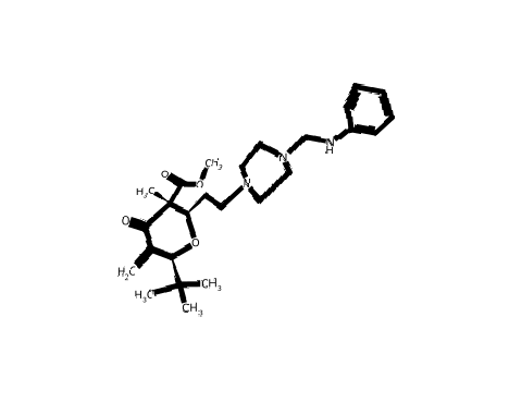 C=C1C(=O)[C@](C)(C(=O)OC)[C@@H](CCN2CCN(CNc3ccccc3)CC2)O[C@H]1C(C)(C)C